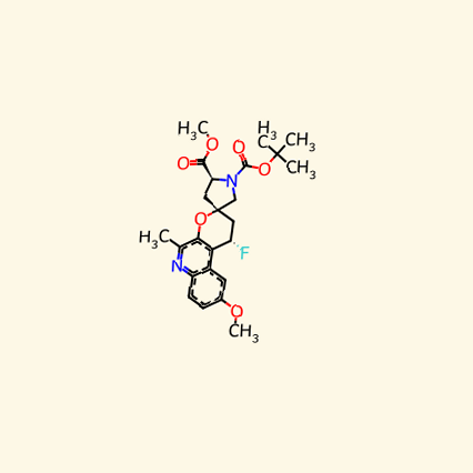 COC(=O)[C@@H]1C[C@]2(C[C@H](F)c3c(c(C)nc4ccc(OC)cc34)O2)CN1C(=O)OC(C)(C)C